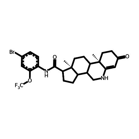 C[C@]12CCC3C(CNC4=CC(=O)CC[C@@]43C)C1CCC2C(=O)Nc1ccc(Br)cc1OC(F)(F)F